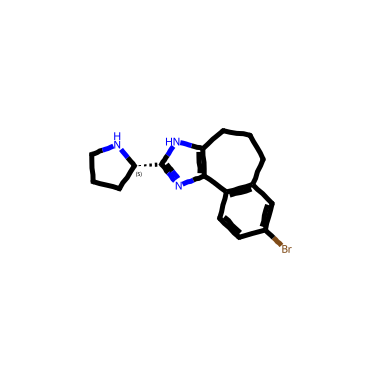 Brc1ccc2c(c1)CCCc1[nH]c([C@@H]3CCCN3)nc1-2